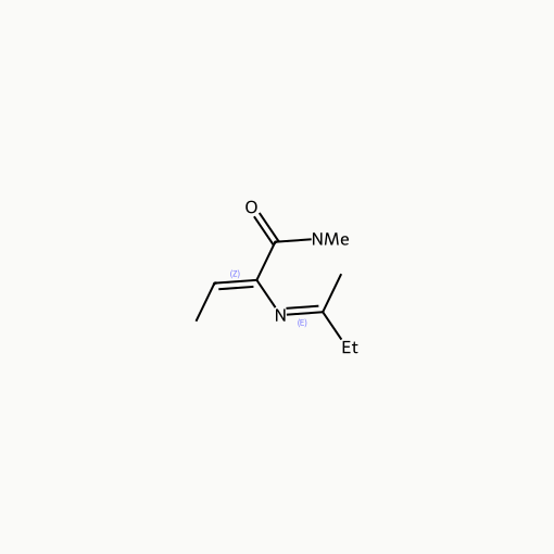 C/C=C(\N=C(/C)CC)C(=O)NC